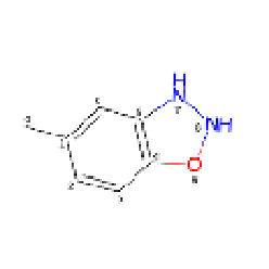 Cc1ccc2c(c1)NNO2